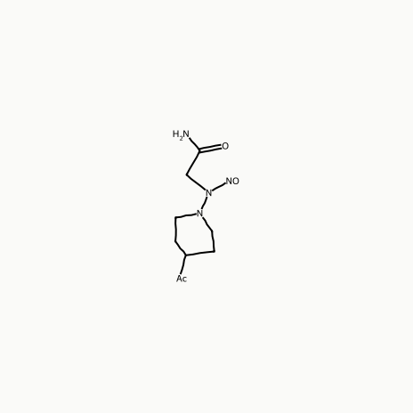 CC(=O)C1CCN(N(CC(N)=O)N=O)CC1